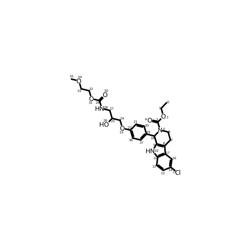 CCOC(=O)N1CCc2c([nH]c3ccc(Cl)cc23)C1c1ccc(OCC(O)CNC(=O)OCCOC)cc1